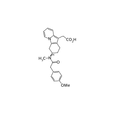 COc1ccc(CC(=O)N(C)[C@@H]2CCc3c(CC(=O)O)c4ccccn4c3C2)cc1